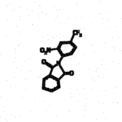 O=C1c2ccccc2C(=O)N1c1ccc(C(F)(F)F)cc1[N+](=O)[O-]